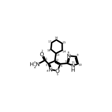 NC(=O)c1noc(-c2ncc[nH]2)c1C1CCCCC1